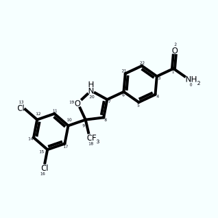 NC(=O)c1ccc(C2=CC(c3cc(Cl)cc(Cl)c3)(C(F)(F)F)ON2)cc1